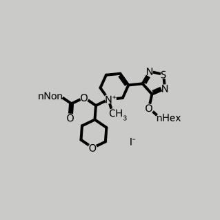 CCCCCCCCCC(=O)OC(C1CCOCC1)[N+]1(C)CCC=C(c2nsnc2OCCCCCC)C1.[I-]